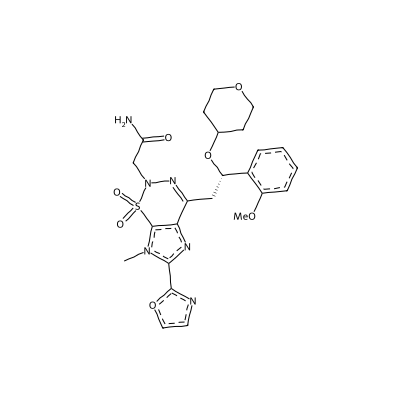 COc1ccccc1[C@H](CC1=NN(CC(N)=O)S(=O)(=O)c2c1nc(-c1ncco1)n2C)OC1CCOCC1